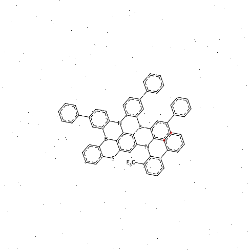 FC(F)(F)c1cccc(-c2ccccc2)c1N1c2ccc(-c3ccccc3)cc2B2c3cc(-c4ccccc4)ccc3N3c4ccc(-c5ccccc5)cc4B4c5ccccc5Sc5cc1c2c3c54